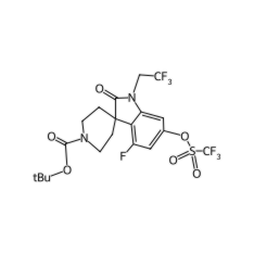 CC(C)(C)OC(=O)N1CCC2(CC1)C(=O)N(CC(F)(F)F)c1cc(OS(=O)(=O)C(F)(F)F)cc(F)c12